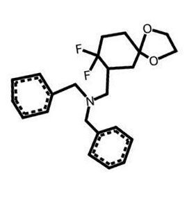 FC1(F)CCC2(CC1CN(Cc1ccccc1)Cc1ccccc1)OCCO2